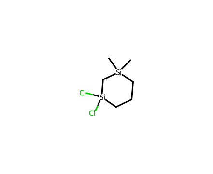 C[Si]1(C)CCC[Si](Cl)(Cl)C1